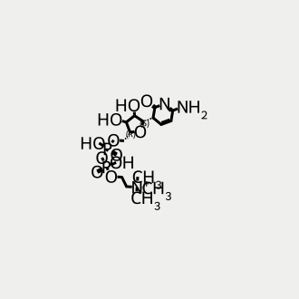 C[N+](C)(C)CCOP(=O)(O)OP(=O)(O)OC[C@H]1O[C@@H](C2C=CC(N)=NC2=O)C(O)C1O